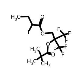 CCC(I)C(=O)OCC(OC(=O)C(C)(C)C)(C(F)(F)F)C(F)(F)F